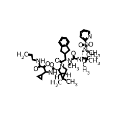 C=CCNC(=O)C(=O)C(NC(=O)[C@@H]1[C@@H]2[C@H](CN1C(=O)[C@H](C1Cc3ccccc3C1)N(C)C(=O)N[C@H](CN(C)S(=O)(=O)c1ccccn1)C(C)(C)C)C2(C)C)C1CC1